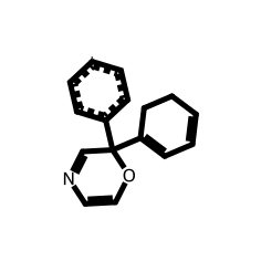 [c]1ccc(C2(C3=CC=CCC3)C=NC=CO2)cc1